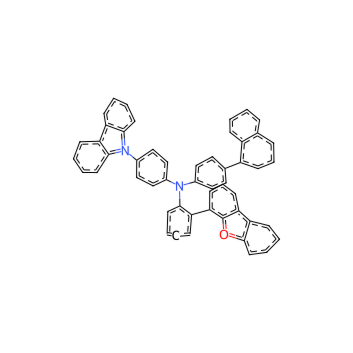 c1ccc(N(c2ccc(-c3cccc4ccccc34)cc2)c2ccc(-n3c4ccccc4c4ccccc43)cc2)c(-c2cccc3c2oc2ccccc23)c1